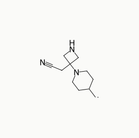 [CH2]C1CCN(C2(CC#N)CNC2)CC1